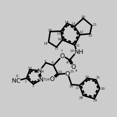 N#Cc1cnn(CC(OC(=O)Nc2c3c(cc4c2CCC4)CCC3)C(=O)OCc2ccccc2)c1